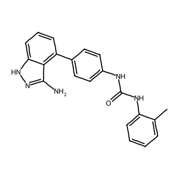 Cc1ccccc1NC(=O)Nc1ccc(-c2cccc3[nH]nc(N)c23)cc1